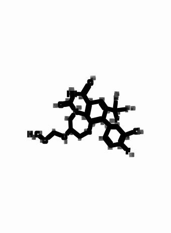 COCOC1CSc2c(-c3ccc(F)c(Cl)c3)c(C(F)(F)F)cc3c(=O)[nH]c(=O)n(c23)C1